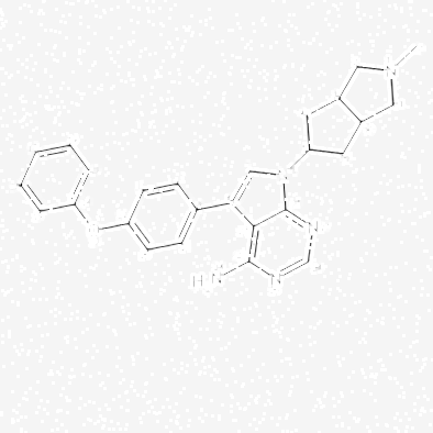 CN1CC2CC(n3cc(-c4ccc(Oc5ccccc5)cc4)c4c(N)ncnc43)CC2C1